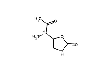 CC(=O)[C@@H](N)C1CNC(=O)O1